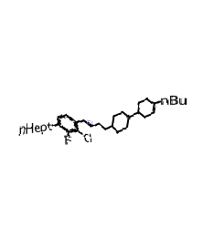 CCCCCCCc1ccc(/C=C/CCC2CCC(C3CCC(CCCC)CC3)CC2)c(Cl)c1F